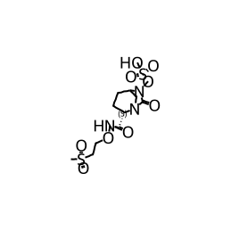 CS(=O)(=O)CCONC(=O)[C@@H]1CCC2CN1C(=O)N2OS(=O)(=O)O